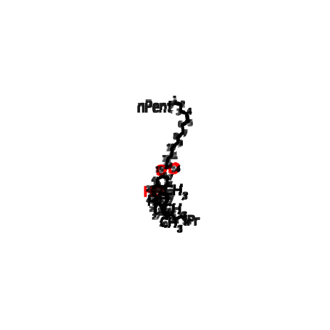 CCCCC/C=C\C/C=C\CCCCCCCC(=O)OC1CC[C@@]2(C)C(=CC[C@H]3[C@@H]4CC[C@H]([C@H](C)CCCC(C)C)[C@@]4(C)CCC32O)C1